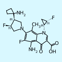 Cc1c(N2C[C@@H](F)[C@@H](C3(N)CCC3)C2)c(F)c(N)c2c(=O)c(C(=O)O)cn([C@@H]3C[C@@H]3F)c12